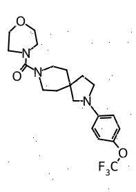 O=C(N1CCOCC1)N1CCC2(CC1)CCN(c1ccc(OC(F)(F)F)cc1)C2